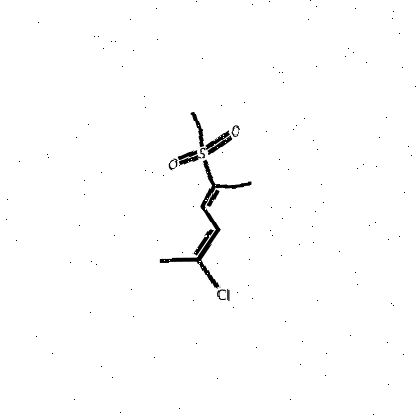 C/C(Cl)=C\C=C(/C)S(C)(=O)=O